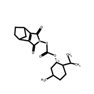 CC1CCC(C(C)C)[C@@H](OC(=O)ON2C(=O)C3=C(C2=O)C2CCC3C2)C1